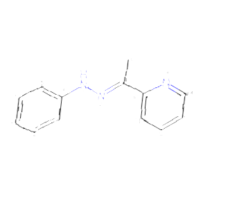 C/C(=N\Nc1ccccc1)c1ccccn1